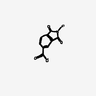 O=C(Cl)c1ccc2c(c1)C(=O)N(Cl)C2=O